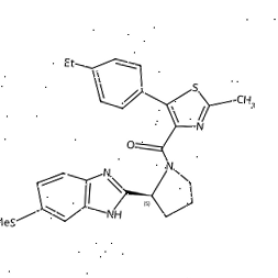 CCc1ccc(-c2sc(C)nc2C(=O)N2CCC[C@H]2c2nc3ccc(SC)cc3[nH]2)cc1